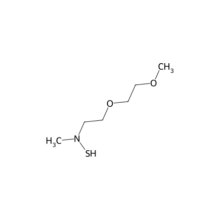 COCCOCCN(C)S